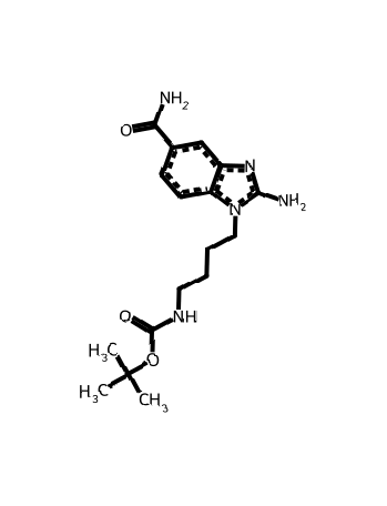 CC(C)(C)OC(=O)NCCCCn1c(N)nc2cc(C(N)=O)ccc21